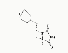 CC1(C)C(=O)NC(=O)N1CCC1CCOCC1